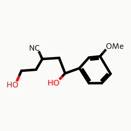 COc1cccc(C(O)CC(C#N)CCO)c1